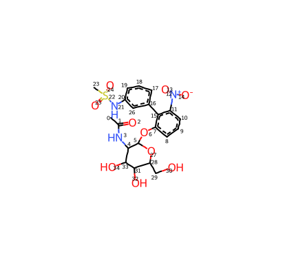 CC(=O)NC1C(Oc2cccc([N+](=O)[O-])c2-c2cccc(NS(C)(=O)=O)c2)OC(CO)C(O)C1O